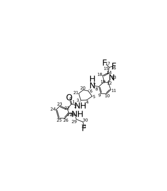 O=C(N[C@H]1CC[C@@H](NC2=CC=CC3=NC(C(F)F)=CC23)CC1)c1ccccc1NCCF